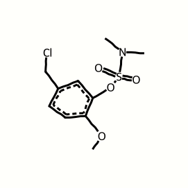 COc1ccc(CCl)cc1OS(=O)(=O)N(C)C